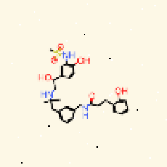 CC(C)(Cc1cccc(CNC(=O)CCc2ccccc2O)c1)NC[C@H](O)c1ccc(O)c(NS(C)(=O)=O)c1